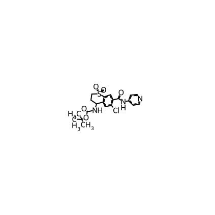 CC(C)(C)OC(=O)NC1CCS(=O)(=O)c2cc(C(=O)Nc3ccncc3)c(Cl)cc21